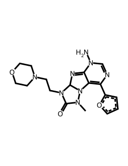 CN1C(=O)N(CCN2CCOCC2)C2N=C3C(=C(c4ccco4)N=CN3N)N21